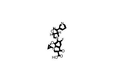 COc1c(N2C[C@@H]3ON=C(c4cccnc4)[C@@H]3C2)c(F)cc2c(=O)c(C(=O)O)cn(C3CC3)c12